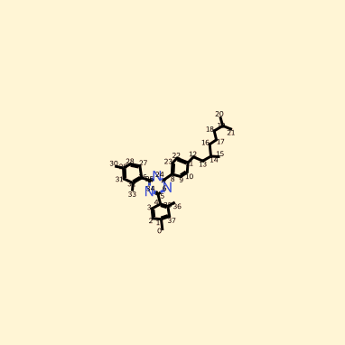 Cc1ccc(-c2nc(-c3ccc(CCC(C)CCCC(C)C)cc3)nc(-c3ccc(C)cc3C)n2)c(C)c1